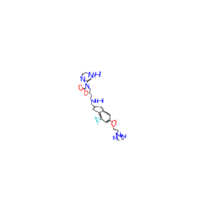 O=C1OC(CCNCC2Cc3cc(OCCn4nccn4)cc(F)c3C2)CN1C1=CNCC=N1